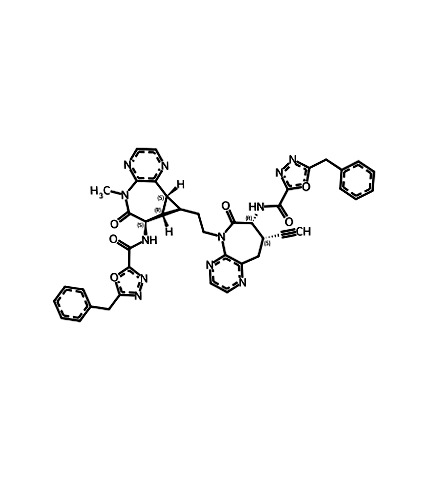 C#C[C@@H]1Cc2nccnc2N(CCC23[C@H]4[C@@H]2c2nccnc2N(C)C(=O)[C@]43NC(=O)c2nnc(Cc3ccccc3)o2)C(=O)[C@@H]1NC(=O)c1nnc(Cc2ccccc2)o1